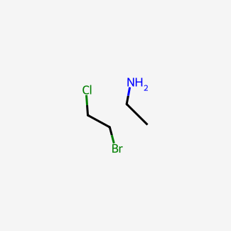 CCN.ClCCBr